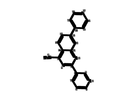 CNc1nc(-c2cccnc2)nc2cc(-c3ccncc3)ccc12